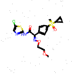 C=S(=O)(c1ccc(/C(=N\OCCOC)C(=O)Nc2ncc(Cl)s2)cc1)C1CC1